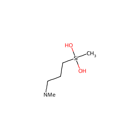 CNCCC[Si](C)(O)O